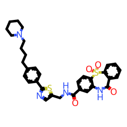 O=C(NCc1cnc(-c2ccc(CCCCN3CCCCC3)cc2)s1)c1ccc2c(c1)NC(=O)c1ccccc1S2(=O)=O